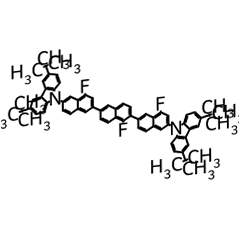 CC(C)(C)c1ccc2c(c1)c1cc(C(C)(C)C)ccc1n2-c1cc(F)c2cc(-c3ccc4cc(-c5cc(F)c6cc(-n7c8ccc(C(C)(C)C)cc8c8cc(C(C)(C)C)ccc87)ccc6c5)ccc4c3F)ccc2c1